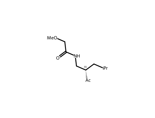 COCC(=O)NC[C@H](CC(C)C)C(C)=O